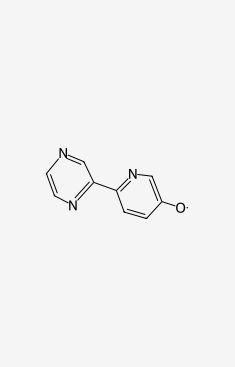 [O]c1ccc(-c2cnccn2)nc1